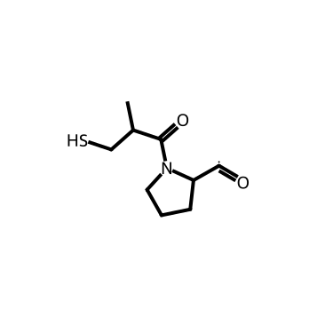 CC(CS)C(=O)N1CCCC1[C]=O